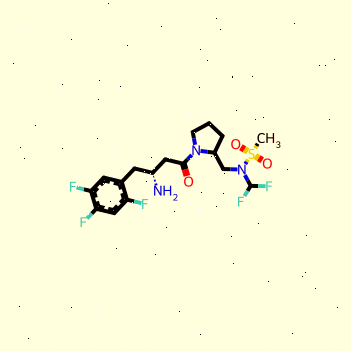 CS(=O)(=O)N(CC1CCCN1C(=O)C[C@H](N)Cc1cc(F)c(F)cc1F)C(F)F